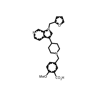 COc1ccc(CN2CCC(c3cn(Cc4ccco4)c4cnccc34)CC2)cc1C(=O)O